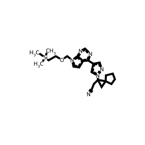 C[Si](C)(C)CCOCn1ccc2c(-c3cnn(C4(CC#N)CC45CCCC5)c3)ncnc21